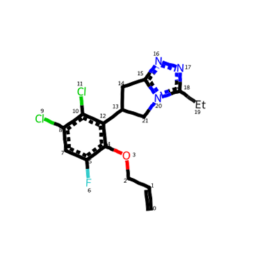 C=CCOc1c(F)cc(Cl)c(Cl)c1C1Cc2nnc(CC)n2C1